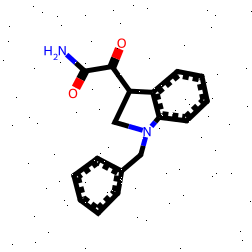 NC(=O)C(=O)C1CN(Cc2ccccc2)c2ccccc21